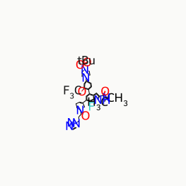 CN(C)C(=O)c1cc2c(-c3ccc(N4CCN(C(=O)OC(C)(C)C)CC4)cc3OC(F)(F)F)cc(C3=CCCN(C(=O)CCn4ccnn4)C3)c(F)c2[nH]1